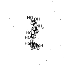 NC1=c2ncn([C@@H]3O[C@H](COP(=O)(O)OP(=O)(O)OP(=O)(O)O)[C@@H](O)[C@H]3O)c2=NCN1[C@@H]1O[C@H](CO)[C@@H](O)[C@@H]1F